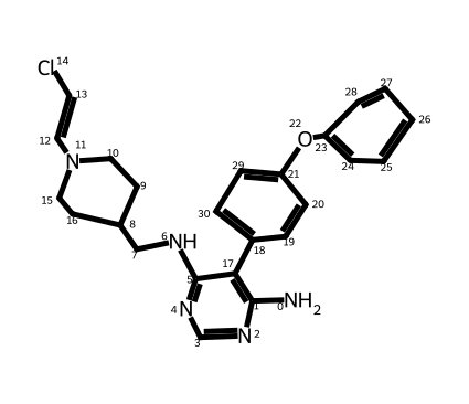 Nc1ncnc(NCC2CCN(C=CCl)CC2)c1-c1ccc(Oc2ccccc2)cc1